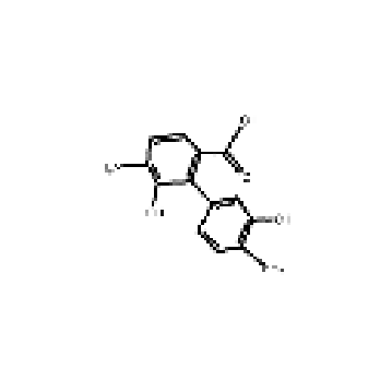 Nc1ccc(-c2c(C(=O)O)ccc(N)c2O)cc1O